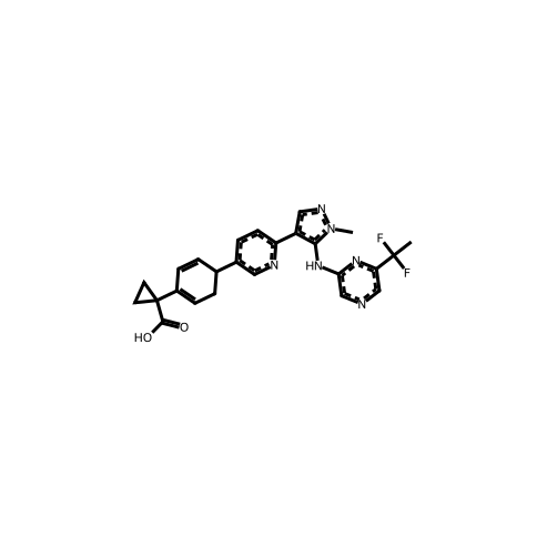 Cn1ncc(-c2ccc(C3C=CC(C4(C(=O)O)CC4)=CC3)cn2)c1Nc1cncc(C(C)(F)F)n1